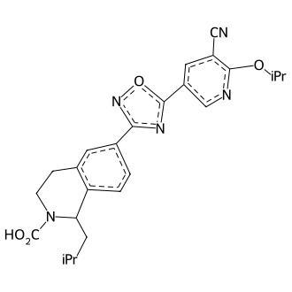 CC(C)CC1c2ccc(-c3noc(-c4cnc(OC(C)C)c(C#N)c4)n3)cc2CCN1C(=O)O